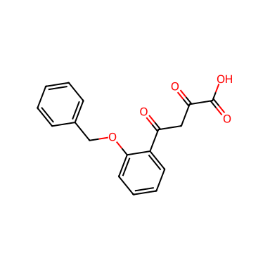 O=C(O)C(=O)CC(=O)c1ccccc1OCc1ccccc1